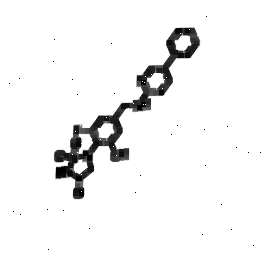 O=C1CN(c2c(O)cc(CNc3ccc(-c4ccccc4)cn3)cc2F)S(=O)(=O)N1